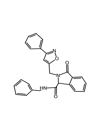 O=C(NCc1ccccc1)C1c2ccccc2C(=O)N1Cc1cc(-c2ccccc2)no1